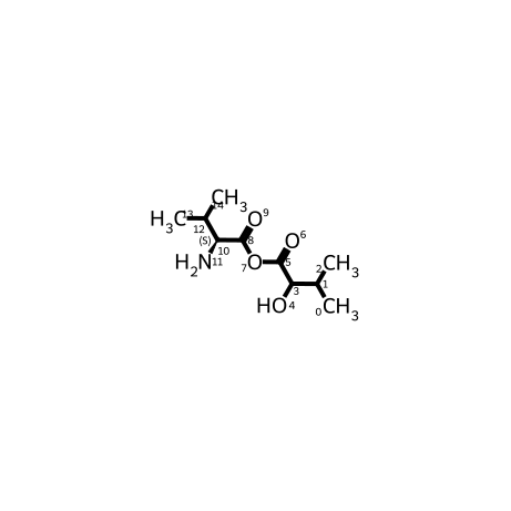 CC(C)C(O)C(=O)OC(=O)[C@@H](N)C(C)C